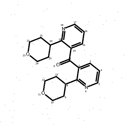 O=C(c1cccnc1C1CCOCC1)c1cccnc1C1CCOCC1